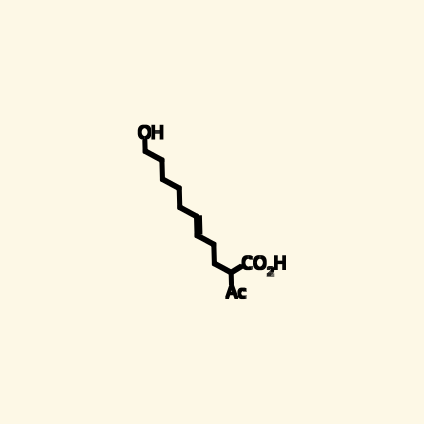 CC(=O)C(CCC=CCCCCCO)C(=O)O